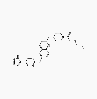 CCCOCC(=O)N1CCN(Cc2ccc3cc(Oc4ccc(-c5ccn[nH]5)cn4)ccc3n2)CC1